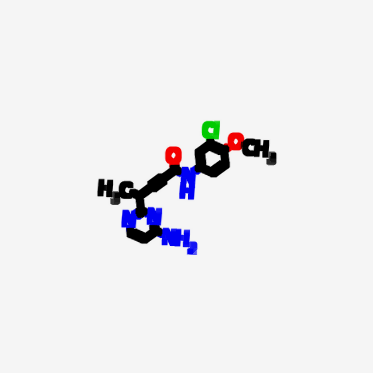 COc1ccc(NC(=O)C#CC(C)c2nccc(N)n2)cc1Cl